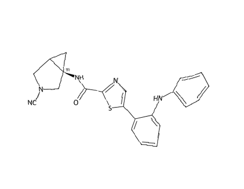 N#CN1CC2C[C@]2(NC(=O)c2ncc(-c3ccccc3Nc3ccccc3)s2)C1